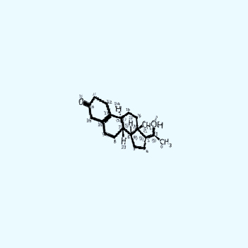 C[C@H](O)[C@H]1CC[C@@H]2[C@@H]3CCC4=C(CCC(=O)C4)[C@H]3CC[C@@]21C